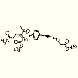 C[C@@H](OCc1ccc(C#CCCOCC(=O)OC(C)(C)C)cc1)[C@H](CCC(N)=O)NC(=O)OC(C)(C)C